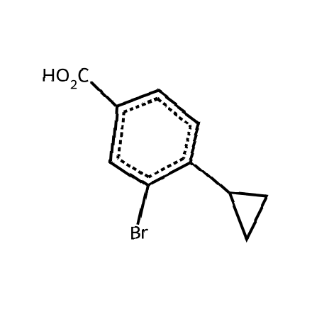 O=C(O)c1ccc(C2CC2)c(Br)c1